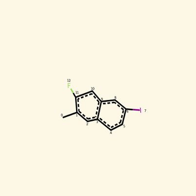 Cc1cc2ccc(I)cc2cc1F